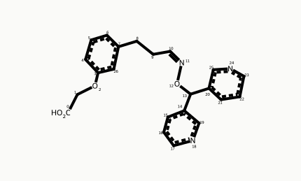 O=C(O)COc1cccc(CC/C=N\OC(c2cccnc2)c2cccnc2)c1